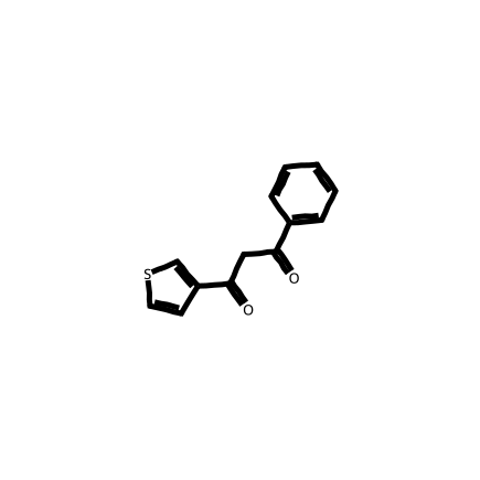 O=C(CC(=O)c1ccsc1)c1ccccc1